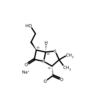 CC1(C)S[C@@H]2[C@H](CCO)C(=O)N2[C@H]1C(=O)[O-].[Na+]